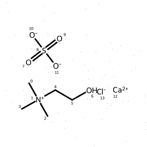 C[N+](C)(C)CCO.O=S(=O)([O-])[O-].[Ca+2].[Cl-]